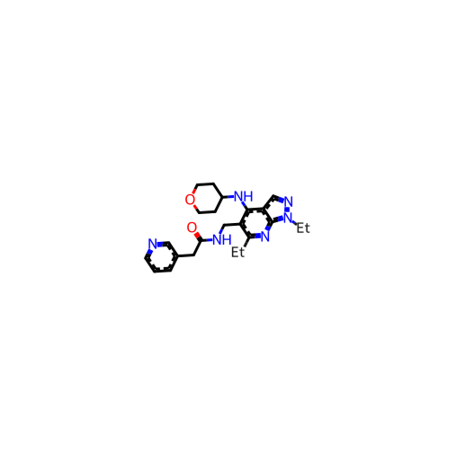 CCc1nc2c(cnn2CC)c(NC2CCOCC2)c1CNC(=O)Cc1cccnc1